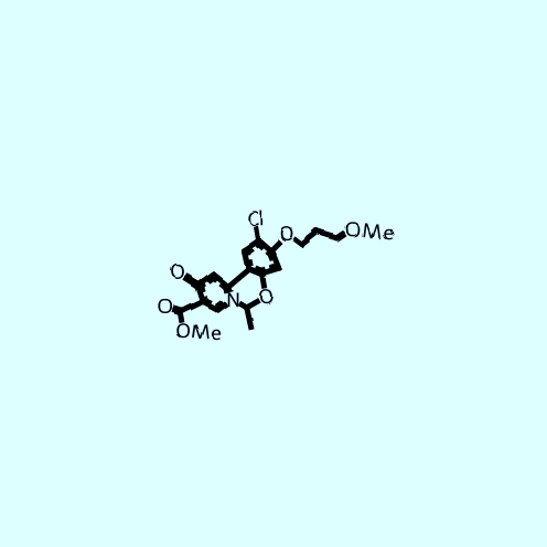 COCCCOc1cc2c(cc1Cl)-c1cc(=O)c(C(=O)OC)cn1C(C)O2